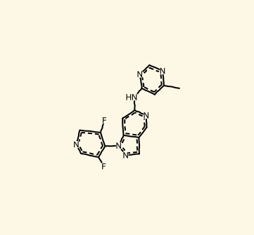 Cc1cc(Nc2cc3c(cn2)cnn3-c2c(F)cncc2F)ncn1